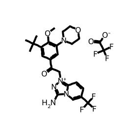 COc1c(N2CCOCC2)cc(C(=O)C[n+]2nc(N)n3cc(C(F)(F)F)ccc32)cc1C(C)(C)C.O=C([O-])C(F)(F)F